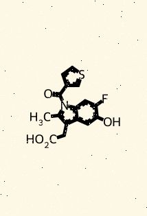 Cc1c(CC(=O)O)c2cc(O)c(F)cc2n1C(=O)c1ccsc1